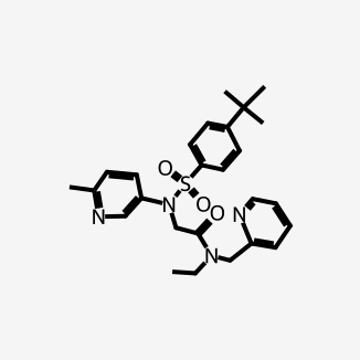 CCN(Cc1ccccn1)C(=O)CN(c1ccc(C)nc1)S(=O)(=O)c1ccc(C(C)(C)C)cc1